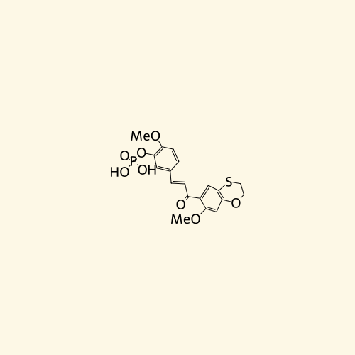 COc1ccc(C=CC(=O)c2cc3c(cc2OC)OCCS3)cc1OP(=O)(O)O